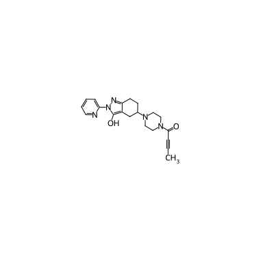 CC#CC(=O)N1CCN(C2CCc3nn(-c4ccccn4)c(O)c3C2)CC1